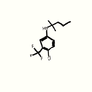 CCCC(C)(C)Nc1ccc(Cl)c(C(F)(F)F)c1